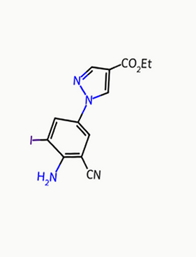 CCOC(=O)c1cnn(-c2cc(I)c(N)c(C#N)c2)c1